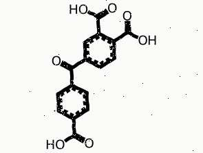 O=C(O)c1[c]cc(C(=O)c2ccc(C(=O)O)c(C(=O)O)c2)cc1